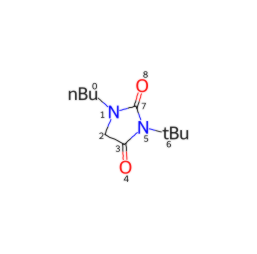 CCCCN1CC(=O)N(C(C)(C)C)C1=O